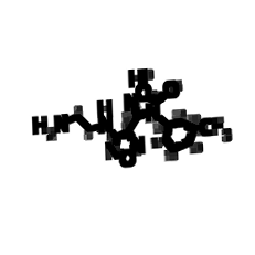 I.NCCNc1nonc1-c1noc(=O)n1-c1cccc(C(F)(F)F)c1